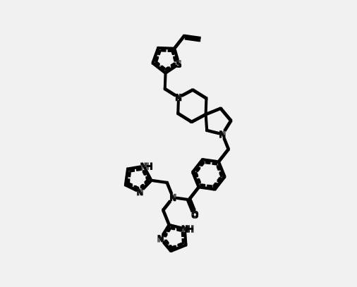 C=Cc1ccc(CN2CCC3(CC2)CCN(Cc2ccc(C(=O)N(Cc4ncc[nH]4)Cc4ncc[nH]4)cc2)C3)s1